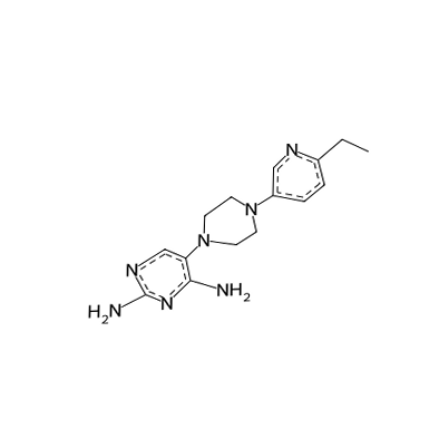 CCc1ccc(N2CCN(c3cnc(N)nc3N)CC2)cn1